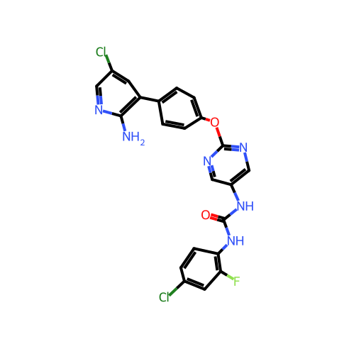 Nc1ncc(Cl)cc1-c1ccc(Oc2ncc(NC(=O)Nc3ccc(Cl)cc3F)cn2)cc1